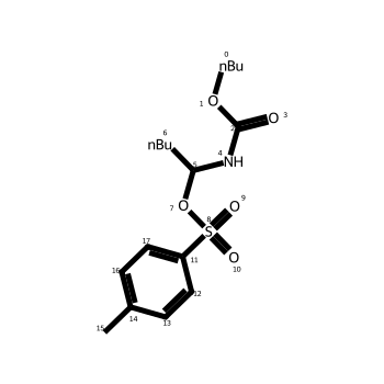 CCCCOC(=O)NC(CCCC)OS(=O)(=O)c1ccc(C)cc1